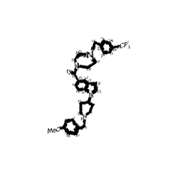 COc1ccc(CN2CCC(n3ccc4cc(C(=O)N5CCN(Cc6ccc(C(F)(F)F)cc6)CC5)ccc43)CC2)cc1